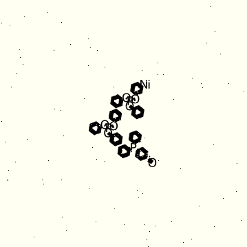 [C]=O.[Ni].c1ccc(OP(Oc2ccccc2)Oc2ccccc2)cc1.c1ccc(OP(Oc2ccccc2)Oc2ccccc2)cc1.c1ccc(P(c2ccccc2)c2ccccc2)cc1